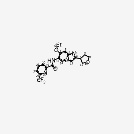 CCOc1cc2nc(C3CCOC3)cn2cc1NC(=O)c1cccc(C(F)(F)F)n1